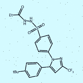 CCC(=O)NNS(=O)(=O)c1ccc(-n2nc(C(F)(F)F)cc2-c2ccc(C(C)(C)C)cc2)cc1